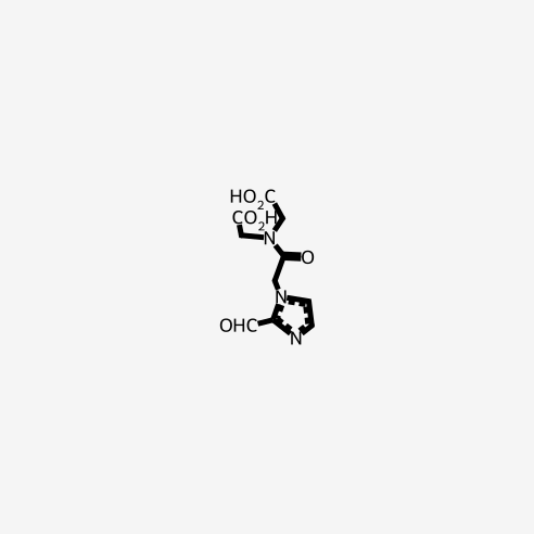 O=Cc1nccn1CC(=O)N(CC(=O)O)CC(=O)O